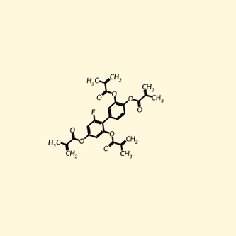 C=C(C)C(=O)Oc1cc(F)c(-c2ccc(OC(=O)C(=C)C)c(OC(=O)C(=C)C)c2)c(OC(=O)C(=C)C)c1